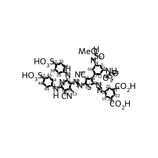 CO[SH](=O)=Nc1cc(NS(C)(=O)=O)cc(-c2c(N=Nc3cc(C(=O)O)cc(C(=O)O)c3)sc(N=Nc3c(Nc4ccc(S(=O)(=O)O)cc4)nc(Nc4ccc(S(=O)(=O)O)cc4)c(C#N)c3C)c2C#N)c1